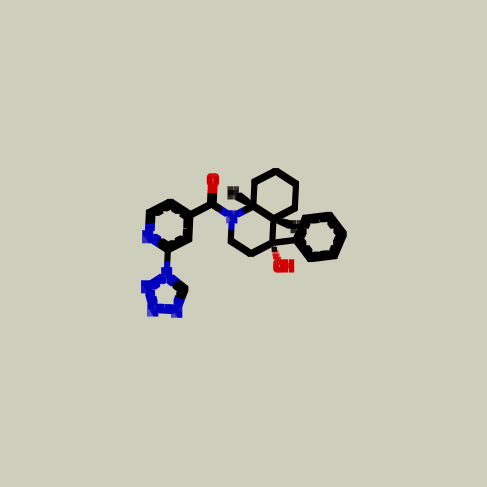 O=C(c1ccnc(-n2cnnn2)c1)N1CC[C@](O)(c2ccccc2)[C@H]2CCCC[C@H]21